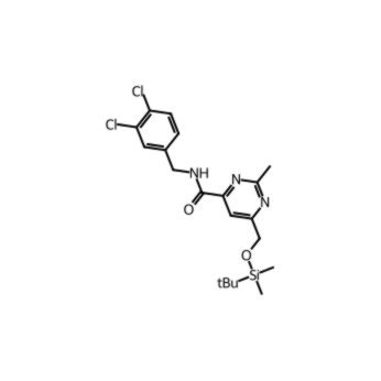 Cc1nc(CO[Si](C)(C)C(C)(C)C)cc(C(=O)NCc2ccc(Cl)c(Cl)c2)n1